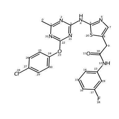 Cc1nc(Nc2ncc(CC(=O)Nc3cccc(F)c3)s2)nc(Oc2ccc(Cl)cc2)n1